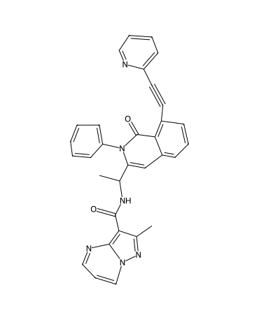 Cc1nn2cccnc2c1C(=O)NC(C)c1cc2cccc(C#Cc3ccccn3)c2c(=O)n1-c1ccccc1